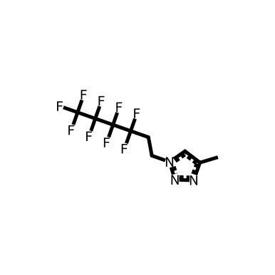 Cc1cn(CCC(F)(F)C(F)(F)C(F)(F)C(F)(F)F)nn1